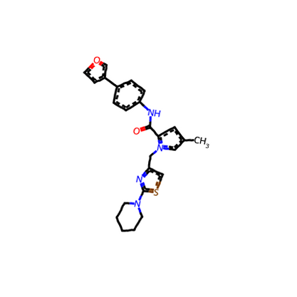 Cc1cc(C(=O)Nc2ccc(-c3ccoc3)cc2)n(Cc2csc(N3CCCCC3)n2)c1